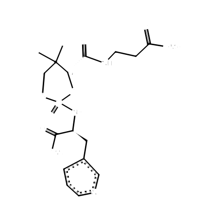 COC(=O)CCNC(=O)[C@@H]1OP(=O)(N[C@@H](Cc2cccnc2)C(=O)OC)OCC1(C)C